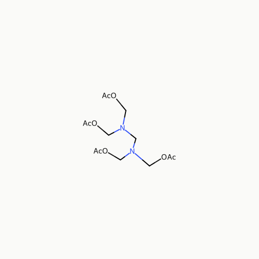 CC(=O)OCN(COC(C)=O)CN(COC(C)=O)COC(C)=O